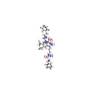 O=C(NCCCC[C@@H]1NC(=O)C2(CCN(CCc3ccccc3)CC2)N(Cc2ccccc2F)C1=O)OCc1ccccc1